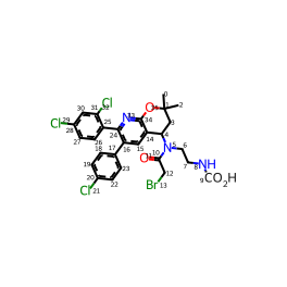 CC1(C)CC(N(CCNC(=O)O)C(=O)CBr)c2cc(-c3ccc(Cl)cc3)c(-c3ccc(Cl)cc3Cl)nc2O1